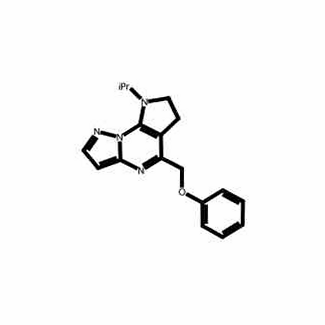 CC(C)N1CCc2c(COc3ccccc3)nc3ccnn3c21